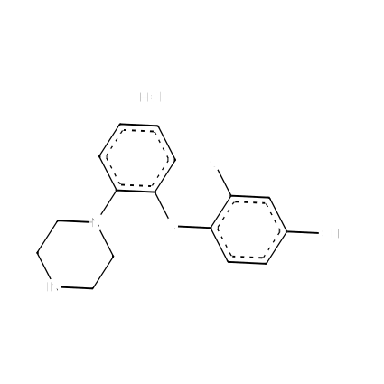 Cc1ccc(Sc2ccccc2N2CCNCC2)c(C)c1.Cl